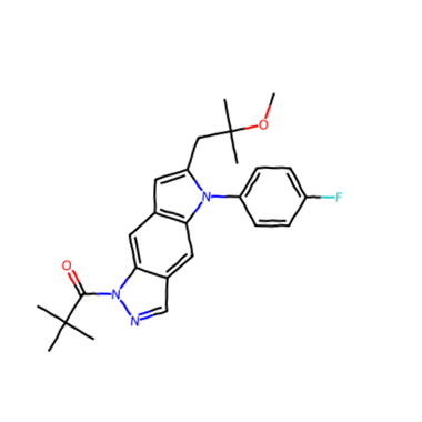 COC(C)(C)Cc1cc2cc3c(cnn3C(=O)C(C)(C)C)cc2n1-c1ccc(F)cc1